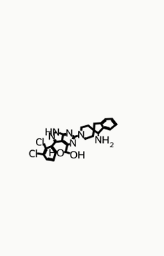 N[C@@H]1c2ccccc2CC12CCN(c1nc(C(O)O)c3c(-c4cccc(Cl)c4Cl)n[nH]c3n1)CC2